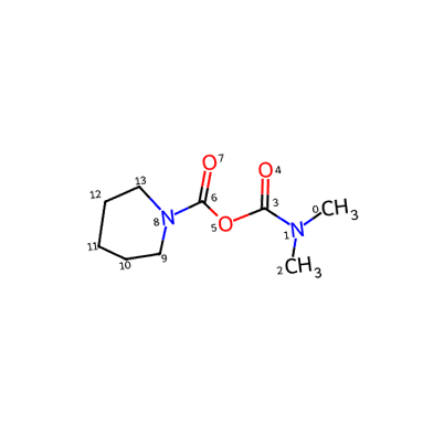 CN(C)C(=O)OC(=O)N1CCCCC1